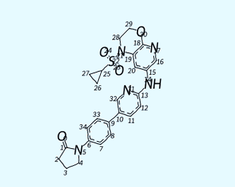 O=C1CCCN1c1ccc(-c2ccc(Nc3cnc4c(c3)N(S(=O)(=O)C3CC3)CCO4)nc2)cc1